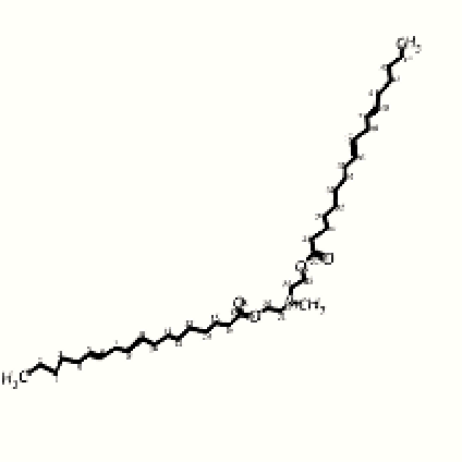 CCCCCC=CCC=CCCCCCCCC(=O)OCCN(C)CCOC(=O)CCCCCCCC=CCC=CCCCCC